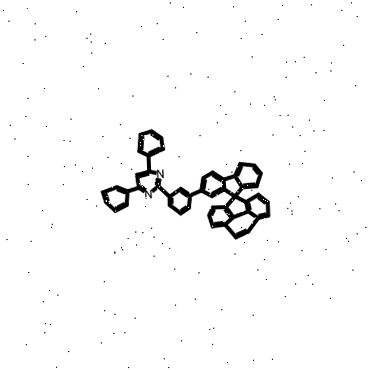 c1ccc(-c2cc(-c3ccccc3)nc(-c3cccc(-c4ccc5c(c4)C4(c6ccccc6-5)c5cccc6ccc7cccc4c7c56)c3)n2)cc1